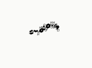 O=C(Nc1ccc(-n2c(=O)[nH]c3cc(NCCCN4CCOCC4)ccc3c2=O)c(F)c1)NS(=O)(=O)c1ccc(Cl)s1